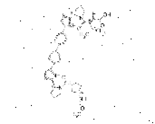 COCN[C@H]1CC[C@@H](C(=O)N2CCC[C@H]2c2ncc(-c3ccc(-c4ccc(-c5cnc([C@@H]6CCCN6C(=O)[C@@H](NC(=O)O)C(C)C)[nH]5)cc4)cc3)[nH]2)C1